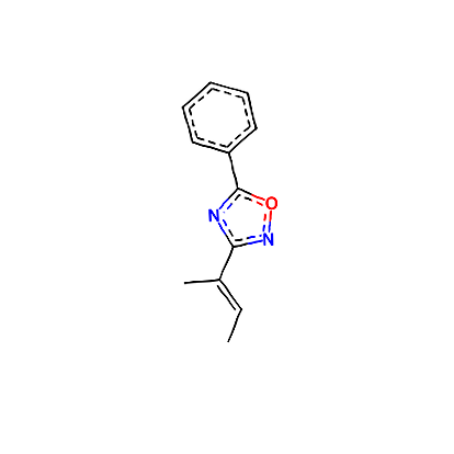 CC=C(C)c1noc(-c2ccccc2)n1